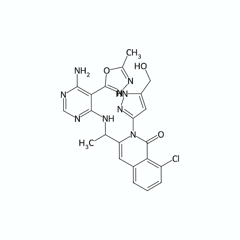 Cc1nnc(-c2c(N)ncnc2NC(C)c2cc3cccc(Cl)c3c(=O)n2-c2cc(CO)[nH]n2)o1